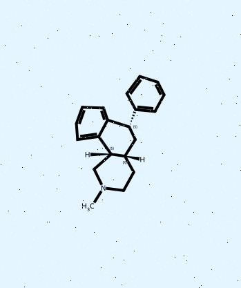 CN1CC[C@H]2C[C@@H](c3ccccc3)c3ccccc3[C@H]2C1